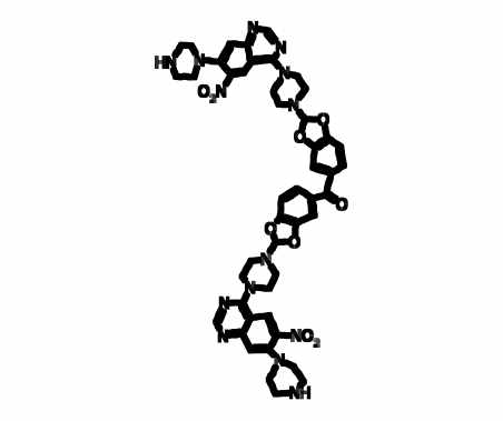 O=C(c1ccc2c(c1)OC(N1CCN(c3ncnc4cc(N5CCNCC5)c([N+](=O)[O-])cc34)CC1)O2)c1ccc2c(c1)OC(N1CCN(c3ncnc4cc(N5CCNCC5)c([N+](=O)[O-])cc34)CC1)O2